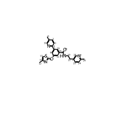 Cc1ccc(-c2cc(Oc3nc(C)cs3)cc(C(=O)NCCc3ccc(C)nc3)c2)nc1